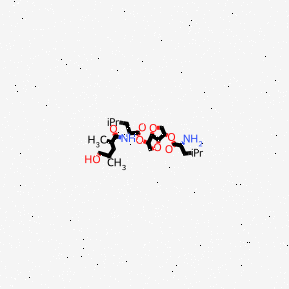 CC(C)CC(N)C(=O)OC1COC2C(OC(=O)C(CC(C)C)NC(=O)C(C)CC(C)CO)COC12